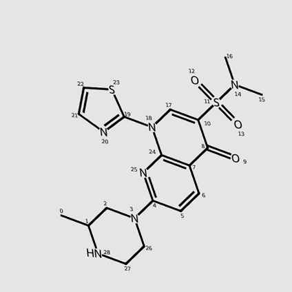 CC1CN(c2ccc3c(=O)c(S(=O)(=O)N(C)C)cn(-c4nccs4)c3n2)CCN1